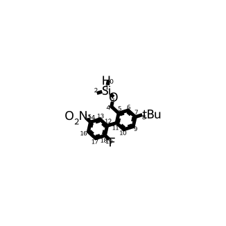 C[SiH](C)OCc1cc(C(C)(C)C)ccc1-c1cc([N+](=O)[O-])ccc1F